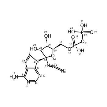 [N-]=[N+]=N[C@@]1(n2cnc3c(N)ncnc32)O[C@H](COP(=O)(O)OP(=O)(O)O)[C@@H](O)[C@H]1O